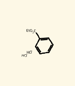 CCOC(=O)c1ccccc1.Cl.Cl